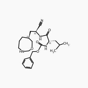 CC(C)C[C@H](NC(=O)OCc1ccccc1)C(=O)N[C@H](C#N)C[C@@H]1CCCNCOC1